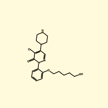 O=c1c(Cl)c(N2CCNCC2)cnn1-c1ccccc1OCCCCCO